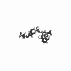 Cc1cccc(Cl)c1S(=O)(=O)N(CCOCC(=O)N1CCc2sc(CN3CC(F)(F)C3)cc2C1)C1CC1